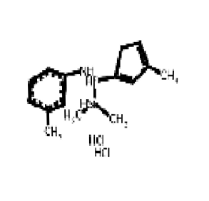 CC1=CC[C]([Hf]([NH]c2cccc(C)c2)[SiH](C)C)=C1.Cl.Cl